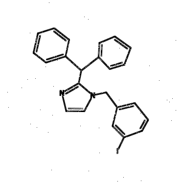 Ic1cccc(Cn2ccnc2C(c2ccccc2)c2ccccc2)c1